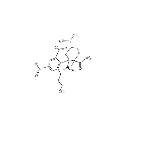 CCCCc1cc([N+](=O)[O-])cc([N+](=O)[O-])c1C1(C(C)=O)CC(C(C)C)CCC1(C)C(C)=O